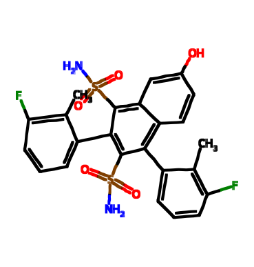 Cc1c(F)cccc1-c1c(S(N)(=O)=O)c(-c2cccc(F)c2C)c2ccc(O)cc2c1S(N)(=O)=O